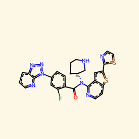 O=C(c1ccc(-n2nnc3cccnc32)cc1F)N(c1nccc2sc(-c3nccs3)cc12)[C@@H]1CCCNC1